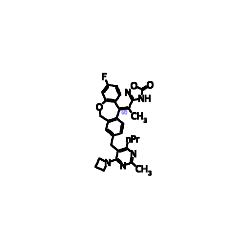 CCCc1nc(C)nc(N2CCC2)c1Cc1ccc2c(c1)COc1cc(F)ccc1/C2=C(/C)c1noc(=O)[nH]1